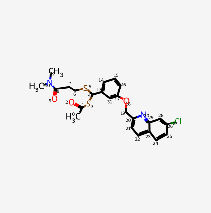 CC(=O)SC(SCCC(=O)N(C)C)c1cccc(OCc2ccc3ccc(Cl)cc3n2)c1